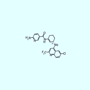 Nc1ccc(C(=O)NC2=C[C@@H](Nc3cc(C(F)(F)F)nc4ccc(Cl)cc34)CCC2)cn1